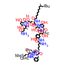 CC[C@H](C)C[C@H](C)CCCCCCCCC(=O)N[C@@H](C[C@@H](O)[C@@H](O)NC(=O)[C@@H]1[C@@H](O)CCN1C(=O)[C@@H](C)[C@H](O)CC(N)=O)C(=O)N[C@H](C(=O)N1C[C@H](O)C[C@H]1C(=O)N[C@H](C(C)=O)[C@H](O)[C@@H](O)c1ccc(O)c(NC(=O)[C@@H](N)CCCCNC(=O)[C@H](Cc2ccccc2)NC(=O)[C@H](CC(C)C)NC(=O)[C@H](CCSC)NC=O)c1)[C@@H](C)O